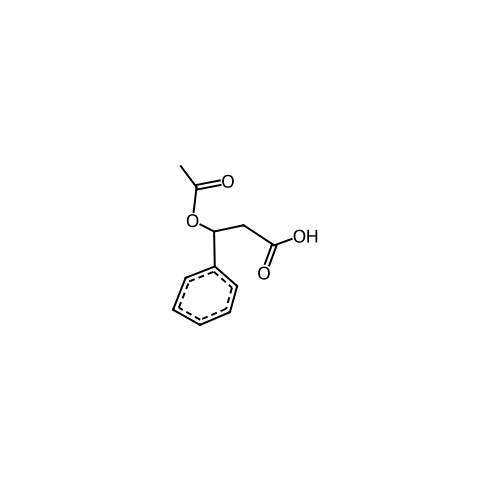 CC(=O)OC(CC(=O)O)c1ccccc1